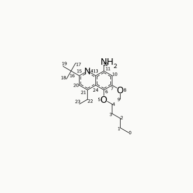 CCCCCOc1c(OC)cc(N)c2nc(C(C)(C)C)cc(CC)c12